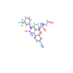 N#Cc1ccc(C2NC(=O)N(c3cccc(C(F)(F)F)c3)C3=C2C(=O)N(C(=O)NCCO)CC3)cc1